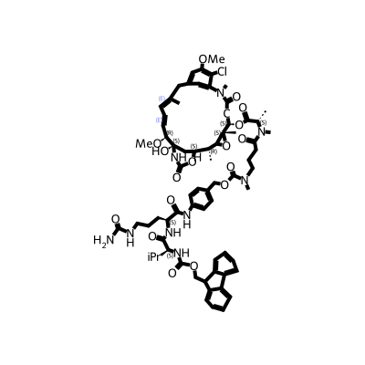 COc1cc2cc(c1Cl)N(C)C(=O)C[C@H](OC(=O)[C@H](C)N(C)C(=O)CCCN(C)C(=O)OCc1ccc(NC(=O)[C@H](CCCNC(N)=O)NC(=O)[C@@H](NC(=O)OCC3c4ccccc4-c4ccccc43)C(C)C)cc1)[C@]1(C)OC1[C@H](C)[C@@H]1C[C@@](O)(NC(=O)O1)[C@H](OC)/C=C/C=C(\C)C2